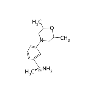 CC1CN(c2cccc([C@H](C)N)c2)CC(C)O1